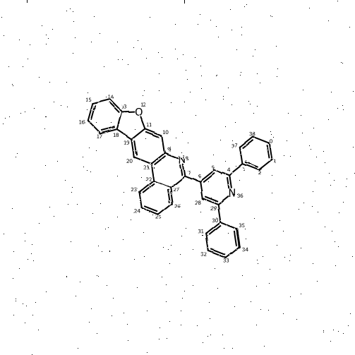 c1ccc(-c2cc(-c3nc4cc5oc6ccccc6c5cc4c4ccccc34)cc(-c3ccccc3)n2)cc1